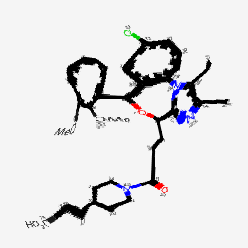 COc1cccc(C2OC(CCC(=O)N3CCC(CCC(=O)O)CC3)c3nc(C)c(C)n3-c3ccc(Cl)cc32)c1OC